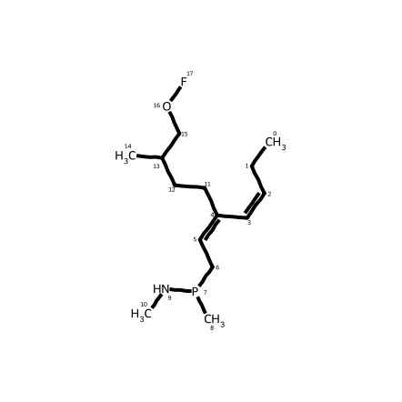 CC/C=C\C(=C/CP(C)NC)CCC(C)COF